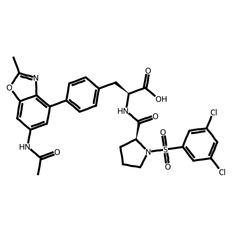 CC(=O)Nc1cc(-c2ccc(C[C@H](NC(=O)[C@@H]3CCCN3S(=O)(=O)c3cc(Cl)cc(Cl)c3)C(=O)O)cc2)c2nc(C)oc2c1